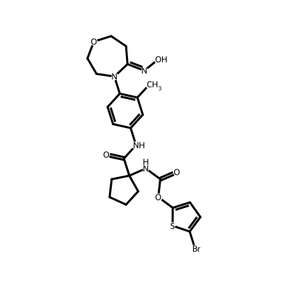 Cc1cc(NC(=O)C2(NC(=O)Oc3ccc(Br)s3)CCCC2)ccc1N1CCOCCC1=NO